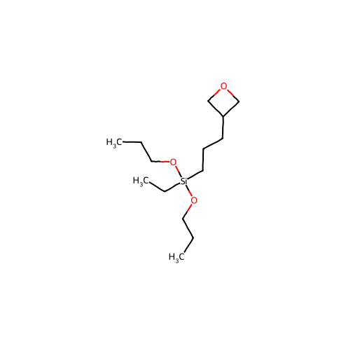 CCCO[Si](CC)(CCCC1COC1)OCCC